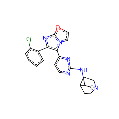 Clc1ccccc1-c1nc2occn2c1-c1ccnc(NC2CN3CCC2CC3)n1